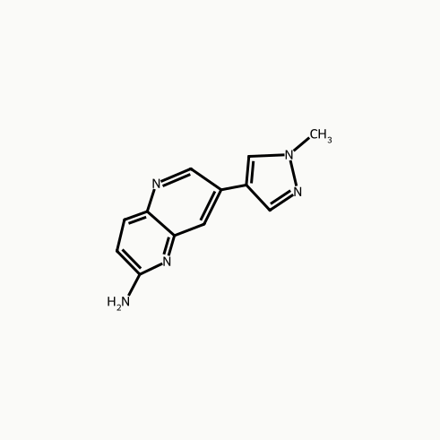 Cn1cc(-c2cnc3ccc(N)nc3c2)cn1